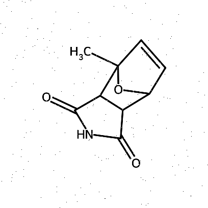 CC12C=CC(O1)C1C(=O)NC(=O)C12